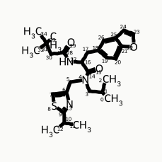 CC(C)CN(Cc1csc(C(C)C)n1)C(=O)C(Cc1ccc2occc2c1)NC(=O)CC(C)(C)C